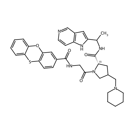 CC(NC(=O)[C@@H]1CC(CN2CCCCC2)CN1C(=O)CNC(=O)c1ccc2c(c1)Oc1ccccc1S2)c1cc2cnccc2[nH]1